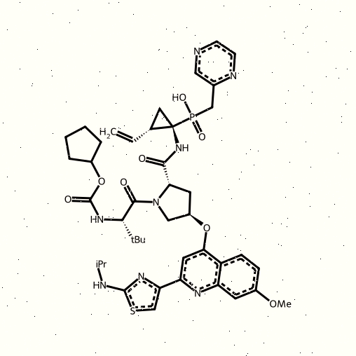 C=C[C@@H]1C[C@]1(NC(=O)[C@@H]1C[C@@H](Oc2cc(-c3csc(NC(C)C)n3)nc3cc(OC)ccc23)CN1C(=O)[C@@H](NC(=O)OC1CCCC1)C(C)(C)C)P(=O)(O)Cc1cnccn1